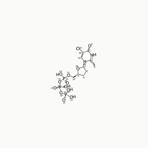 O=c1[nH]c(=S)n([C@H]2CC[C@@H](COP(=O)(O)OP(=O)(O)OP(=O)(O)O)O2)cc1Cl